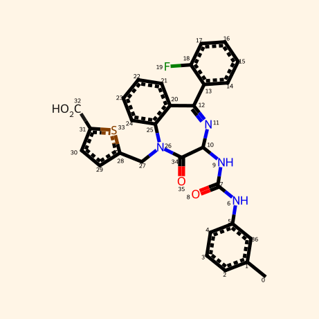 Cc1cccc(NC(=O)NC2N=C(c3ccccc3F)c3ccccc3N(Cc3ccc(C(=O)O)s3)C2=O)c1